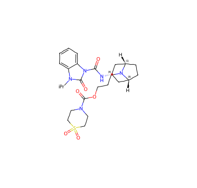 CC(C)n1c(=O)n(C(=O)N[C@H]2C[C@H]3CC[C@@H](C2)N3CCCOC(=O)N2CCS(=O)(=O)CC2)c2ccccc21